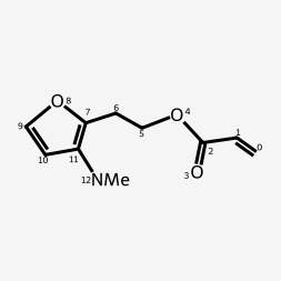 C=CC(=O)OCCc1occc1NC